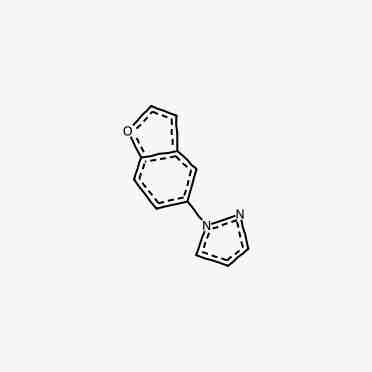 c1cnn(-c2ccc3occc3c2)c1